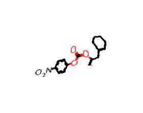 [CH2]C(CC1CCCCC1)OC(=O)Oc1ccc([N+](=O)[O-])cc1